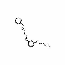 NCCOc1cccc(OCCCOCC2=CCCC=C2)c1